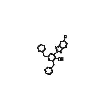 Oc1c(Cc2ccccc2)cc(Cc2ccccc2)cc1-n1nc2ccc(Cl)cc2n1